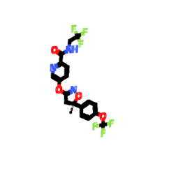 C[C@]1(c2ccc(OC(F)(F)F)cc2)CC(Oc2ccc(C(=O)NCC(F)(F)F)nc2)=NO1